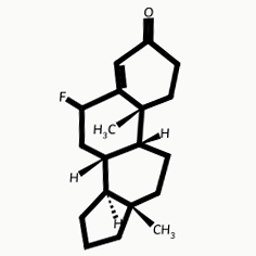 C[C@@]12CCC[C@H]1[C@@H]1CC(F)C3=CC(=O)CC[C@]3(C)[C@@H]1CC2